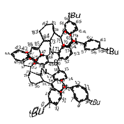 CC(C)(C)c1ccc(N(c2ccc(C(C)(C)C)cc2)c2ccc3c(c2)N(C2C(C4CC=CCC4)=CCCC2C2=CCCCC2)c2cc(-c4ccccc4)cc4c2B3c2ccc(N(c3ccc(C(C)(C)C)cc3)c3ccc(C(C)(C)C)cc3)cc2N4C2C(C3CC=CCC3)=CCCC2C2=CCCCC2)cc1